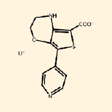 O=C([O-])c1sc(-c2ccncc2)c2c1NCCO2.[Li+]